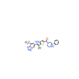 Cc1cc(-c2[nH]c3cc(C(=O)N4CCN[C@@H](c5ccccc5)C4)sc3c2C(C)C)cn2ncnc12